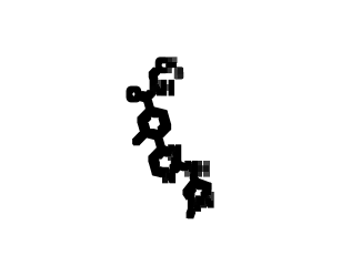 Cc1cc(C(=O)NCC(F)(F)F)ccc1-c1ccnc(Nc2cnn(C)c2)n1